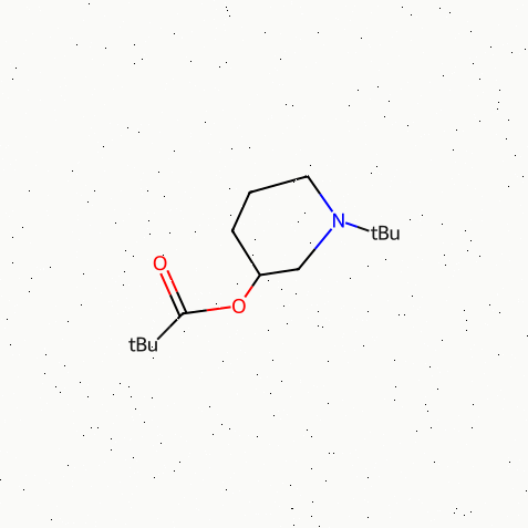 CC(C)(C)C(=O)OC1CCCN(C(C)(C)C)C1